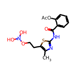 CC(=O)Oc1ccccc1C(=O)Nc1nc(C)c(CCON(O)O)s1